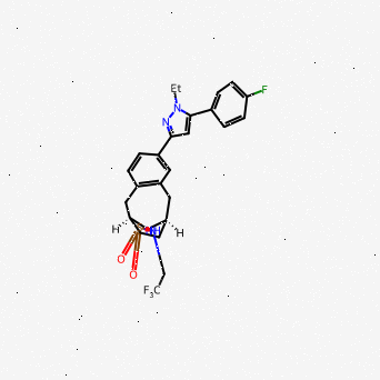 CCn1nc(-c2ccc3c(c2)C[C@H]2CC[C@@H](C3)[C@]23CN(CC(F)(F)F)S(=O)(=O)N3)cc1-c1ccc(F)cc1